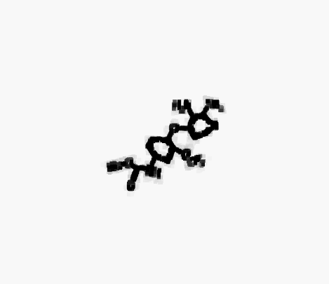 CC(C)(C)OC(=O)Nc1ccc(Oc2ccnc(N)c2N)c(OC(F)(F)F)c1